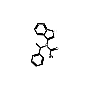 CC(C)C(=O)N(c1c[nH]c2ccccc12)C(C)c1ccccc1